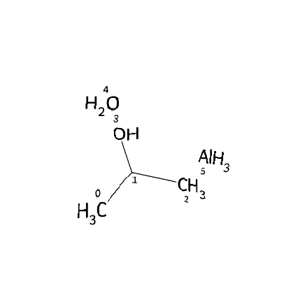 CC(C)O.O.[AlH3]